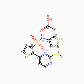 CSc1nccc(-c2sccc2S(=O)(=O)Nc2ccsc2CC(=O)O)n1